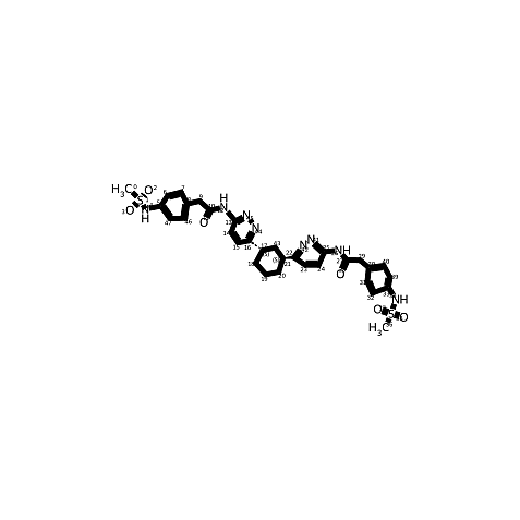 CS(=O)(=O)Nc1ccc(CC(=O)Nc2ccc([C@H]3CCC[C@H](c4ccc(NC(=O)Cc5ccc(NS(C)(=O)=O)cc5)nn4)C3)nn2)cc1